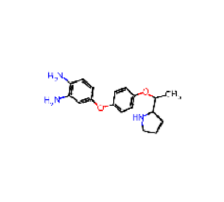 CC(Oc1ccc(Oc2ccc(N)c(N)c2)cc1)C1CCCN1